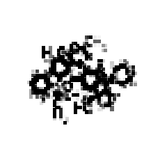 C[C@@H]1CN(c2c(CO[Si](c3ccccc3)(c3ccccc3)C(C)(C)C)cc(C3(CO)SCN=C3C(=O)N3CCOCC3)c(F)c2F)C[C@H](C)O1